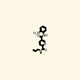 C=CCN(C)C(=O)c1ccc(C(=O)Nc2ccccc2N)cn1